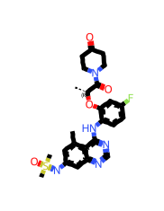 Cc1cc(N=S(C)(C)=O)cc2ncnc(Nc3ccc(F)cc3O[C@H](C)C(=O)N3CCC(=O)CC3)c12